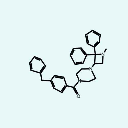 CN1CC(N2CCN(C(=O)c3ccc(Cc4ccccc4)cc3)CC2)C1(c1ccccc1)c1ccccc1